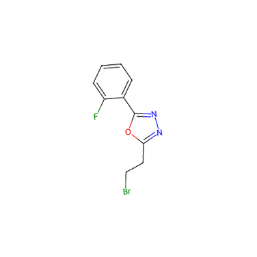 Fc1ccccc1-c1nnc(CCBr)o1